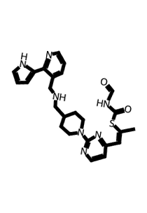 C/C(=C/c1ccnc(N2CCC(CNCc3cccnc3-c3ccc[nH]3)CC2)n1)SC(=O)NC=O